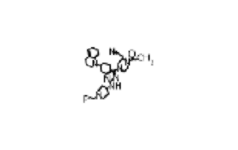 C=CC(=O)N1CCN(c2nc(NC3CCN(CCF)CC3)nc3c2CCC(N2CCCc4ccccc42)C3)CC1CC#N